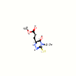 CC(=O)Nn1c(S)nnc(CCC(=O)OC(C)(C)C)c1=O